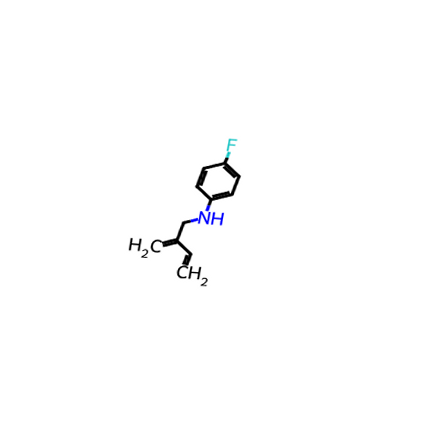 C=CC(=C)CNc1ccc(F)cc1